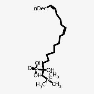 CCCCCCCCCC/C=C\CCC/C=C\CCCCCCCC(O)(C[N+](C)(C)C)P(=O)(O)O